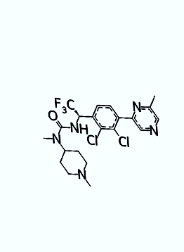 Cc1cncc(-c2ccc([C@@H](NC(=O)N(C)C3CCN(C)CC3)C(F)(F)F)c(Cl)c2Cl)n1